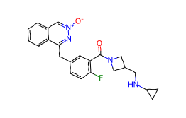 O=C(c1cc(Cc2n[n+]([O-])cc3ccccc23)ccc1F)N1CC(CNC2CC2)C1